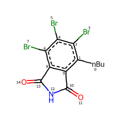 CCCCc1c(Br)c(Br)c(Br)c2c1C(=O)NC2=O